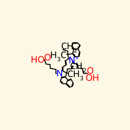 C=CCC1(C)C(/C=C/C=C2/N(CCCCCC(=O)O)c3ccc4ccccc4c3C2(C)CC=C)=[N+](CCCCCC(=O)O)c2ccc3ccccc3c21